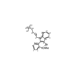 COc1cccnc1-c1c(Br)c2cccnc2n1COCC[Si](C)(C)C